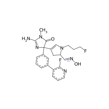 CN1C(=O)C(C2=CN(CCCF)C(/C=N/O)C2)(c2cccc(-c3cccnc3F)c2)N=C1N